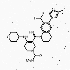 CNC(=O)N1CCC(NC2CCOCC2)=C(C(=N)N2CCCc3cc(-c4cnn(C)c4)c(C(F)F)cc32)C1